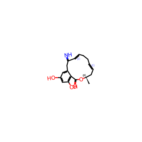 C[C@@H]1C/C=C/CC/C=C/C(=N)Cc2cc(O)cc(O)c2C(=O)O1